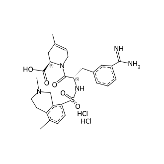 CC1=CCN(C(=O)[C@H](Cc2cccc(C(=N)N)c2)NS(=O)(=O)c2ccc(C)c3c2CN(C)CC3)[C@@H](C(=O)O)C1.Cl.Cl